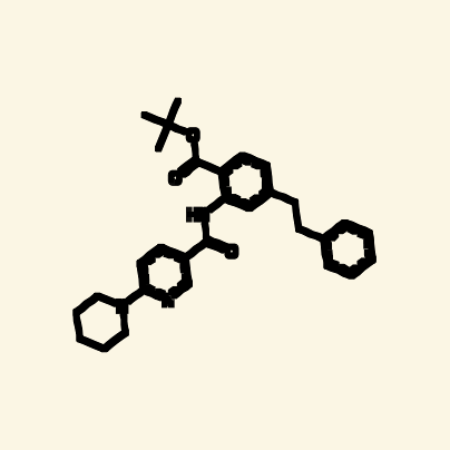 CC(C)(C)OC(=O)c1ccc(CCc2ccccc2)cc1NC(=O)c1ccc(N2CCCCC2)nc1